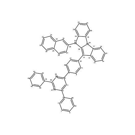 c1ccc(-c2cc(-c3ccc(-c4c5ccccc5n5c6ccccc6n(-c6ccc7ccccc7c6)c45)cc3)nc(-c3ccccc3)n2)cc1